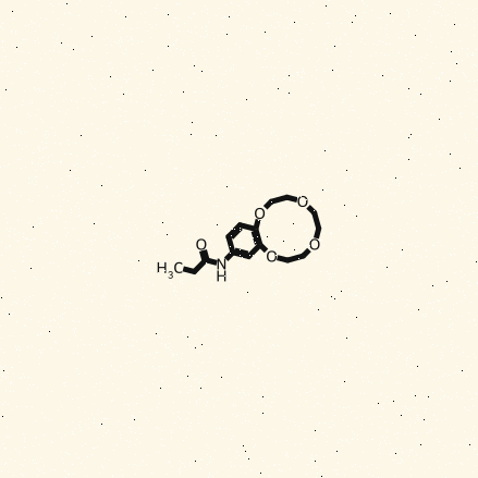 CCC(=O)Nc1ccc2c(c1)OCCOCCOCCO2